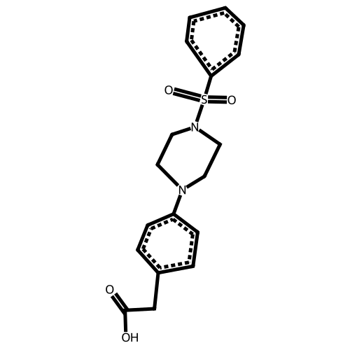 O=C(O)Cc1ccc(N2CCN(S(=O)(=O)c3ccccc3)CC2)cc1